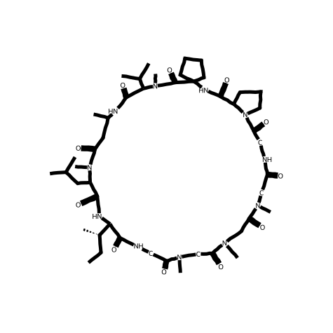 CC[C@H](C)C1NC(=O)C(CC(C)C)N(C)C(=O)CC(C)NC(=O)C(C(C)C)N(C)C(=O)C2(CCCC2)NC(=O)C2CCCN2C(=O)CNC(=O)CN(C)C(=O)CN(C)C(=O)CN(C)C(=O)CNC1=O